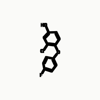 Oc1ccc(Oc2ccc(F)cc2)c(Cl)c1